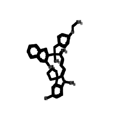 C=C(/C=C/C=C1/N(C)c2ccc(Cl)cc2C12CCCC2)C(C)(Cc1ccc(OCC)cc1)c1cc2ccccc2cc1C